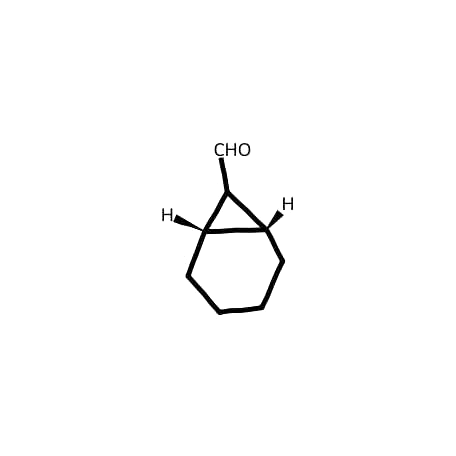 O=CC1[C@H]2CCCC[C@@H]12